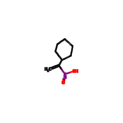 C=C(C1CCCCC1)[PH](=O)O